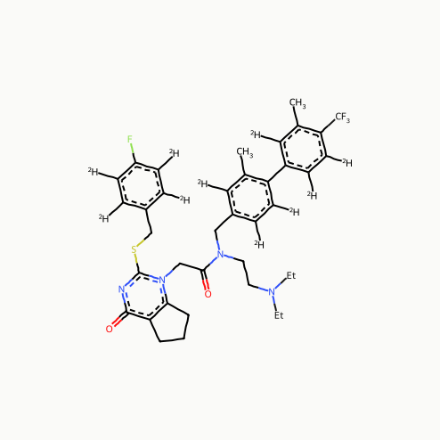 [2H]c1c([2H])c(CSc2nc(=O)c3c(n2CC(=O)N(CCN(CC)CC)Cc2c([2H])c([2H])c(-c4c([2H])c([2H])c(C(F)(F)F)c(C)c4[2H])c(C)c2[2H])CCC3)c([2H])c([2H])c1F